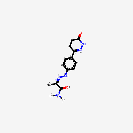 CCN(CC)C(=O)/C(C#N)=N\Nc1ccc(C2=NNC(=O)CC2)cc1